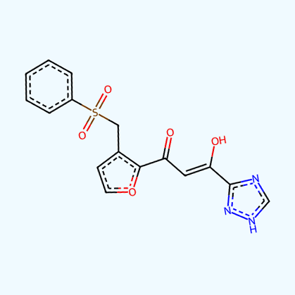 O=C(C=C(O)c1nc[nH]n1)c1occc1CS(=O)(=O)c1ccccc1